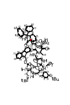 CC(C)C[C@H](NC(=O)[C@H](Cc1ccc(OC(C)(C)C)cc1)NC(=O)[C@H](COC(C)(C)C)NC(=O)OCC1c2ccccc2-c2ccccc21)C(=O)N[C@@H](CCC(=O)OC(C)(C)C)C(=O)NCC(=O)N[C@@H](CCC(=O)NC(c1ccccc1)(c1ccccc1)c1ccccc1)C(=O)O